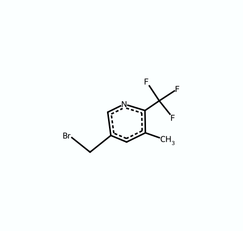 Cc1cc(CBr)cnc1C(F)(F)F